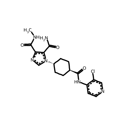 CNC(=O)c1ncn([C@H]2CC[C@H](C(=O)Nc3ccncc3Cl)CC2)c1C(N)=O